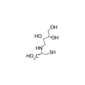 O=C(O)[C@H](CS)NC[C@H](O)[C@H](O)CO